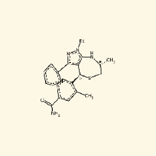 CCn1nc(-c2ccccn2)c2c1N[C@H](C)CS[C@H]2c1ccc(C(N)=O)cc1C